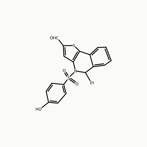 CCC1c2ccccc2-c2sc(C=O)cc2N1S(=O)(=O)c1ccc(O)cc1